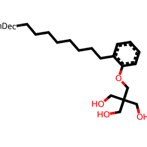 CCCCCCCCCCCCCCCCCCc1ccccc1OCC(CO)(CO)CO